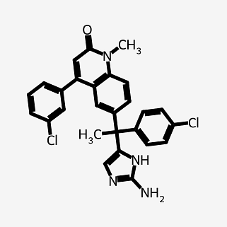 Cn1c(=O)cc(-c2cccc(Cl)c2)c2cc(C(C)(c3ccc(Cl)cc3)c3cnc(N)[nH]3)ccc21